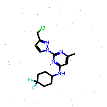 Cc1cc(NC2CCC(F)(F)CC2)nc(-n2ccc(CCl)n2)n1